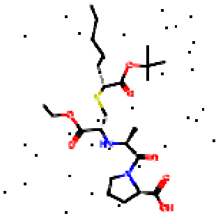 CCCCC[C@@H](SC[C@H](N[C@@H](C)C(=O)N1CCC[C@@H]1C(=O)O)C(=O)OCC)C(=O)OC(C)(C)C